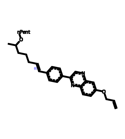 C=CCOc1ccc2nc(-c3ccc(/C=C/CCCC(C)OCCCCC)cc3)cnc2c1